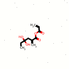 C=CC(=O)OC(=O)C(=C)CC(O)(O)CC